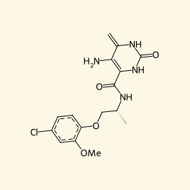 C=C1NC(=O)NC(C(=O)N[C@H](C)COc2ccc(Cl)cc2OC)=C1N